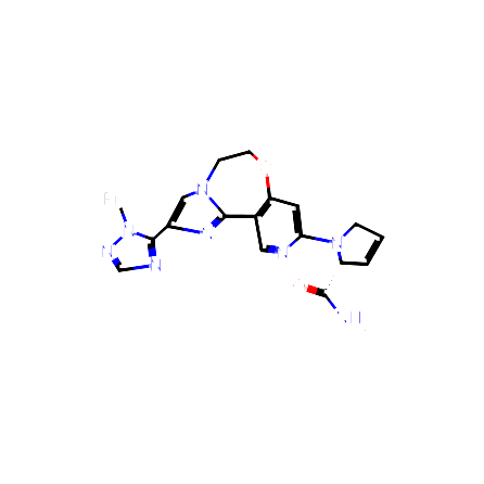 CC(C)n1ncnc1-c1cn2c(n1)-c1cnc(N3CC=C[C@@H]3C(N)=O)cc1OCC2